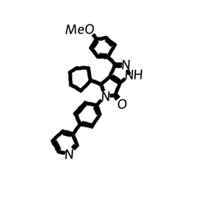 COc1ccc(-c2n[nH]c3c2C(C2CCCCC2)N(c2ccc(-c4cccnc4)cc2)C3=O)cc1